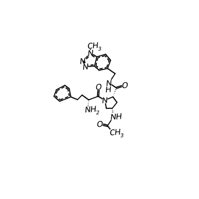 CC(=O)N[C@H]1C[C@@H](C(=O)NCc2ccc3c(c2)nnn3C)N(C(=O)[C@H](N)CCc2ccccc2)C1